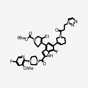 CCC1=C(c2cc(C3=CCCN(C(=O)CCn4ccnn4)C3)c(F)c3[nH]c(C(=O)N4CCN(c5ncc(F)cc5OC)CC4)cc23)CCN(C(=O)OC(C)(C)C)C1